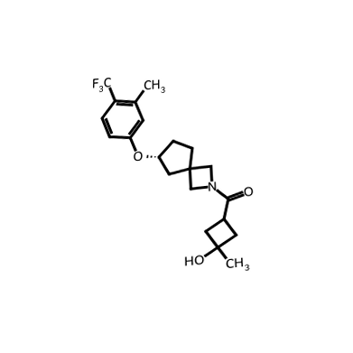 Cc1cc(O[C@@H]2CCC3(C2)CN(C(=O)C2CC(C)(O)C2)C3)ccc1C(F)(F)F